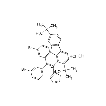 CC(C)(C)c1ccc2c(c1)Cc1c-2ccc(C(C)(C)C)[c]1[Zr]([C]1=CC=CC1)=[C](c1cccc(Br)c1)c1cccc(Br)c1.Cl.Cl